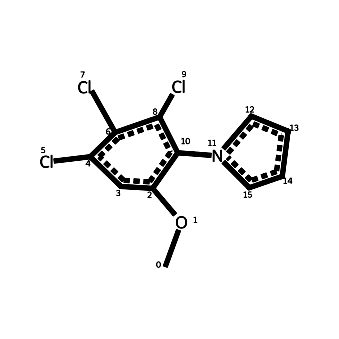 COc1cc(Cl)c(Cl)c(Cl)c1-n1cccc1